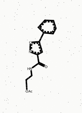 CC(=O)OCCNC(=O)c1cc(-c2ccccc2)on1